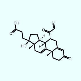 C[C@]12CCC(=O)C=C1C[C@@H](C(=O)C=O)[C@@H]1C2=CC[C@@]2(C)[C@H]1CC[C@@]2(O)CCC(=O)O